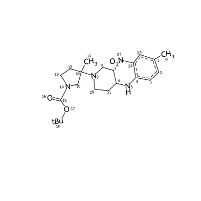 Cc1ccc(NC2CCN(C3(C)CCN(C(=O)OC(C)(C)C)C3)CC2)c([N+](=O)[O-])c1